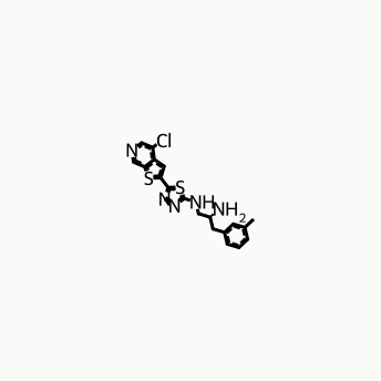 Cc1cccc(C[C@H](N)CNc2nnc(-c3cc4c(Cl)cncc4s3)s2)c1